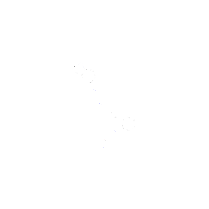 Cc1cccc2c1[C@H](CCN1CCN(c3ccc4[nH]ccc4c3)CC1)CN2CC(N)=O